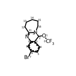 FC(F)(F)OC1c2ccc(Br)cc2N=C2CCCCCN21